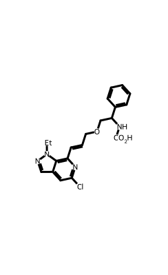 CCn1ncc2cc(Cl)nc(C=CCOCC(NC(=O)O)c3ccccc3)c21